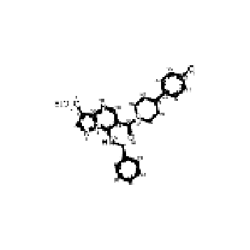 CCOC(=O)c1cnn2c(NCc3ccccc3)c(C(=O)N3CCC(c4ccc(Cl)cc4)CC3)cnc12